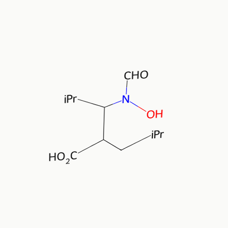 CC(C)CC(C(=O)O)C(C(C)C)N(O)C=O